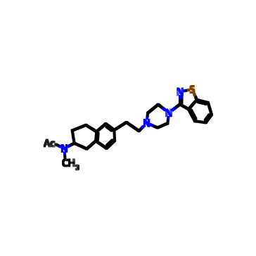 CC(=O)N(C)C1CCc2cc(CCN3CCN(c4nsc5ccccc45)CC3)ccc2C1